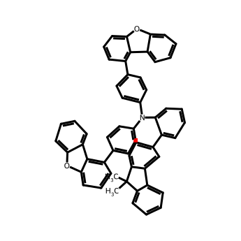 CC1(C)c2ccccc2-c2cc(-c3ccccc3N(c3ccc(-c4cccc5oc6ccccc6c45)cc3)c3ccc(-c4cccc5oc6ccccc6c45)cc3)ccc21